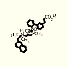 CN(C[C@H](O)CNC(C)(C)Cc1ccc2ccccc2c1)S(=O)(=O)c1ccccc1-c1cccc(/C=C/C(=O)O)c1